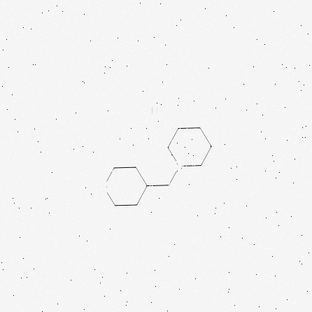 C[C@@H]1CCCN(CC2CCOCC2)C1